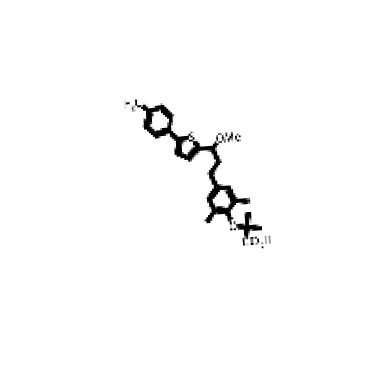 COC(CCc1cc(C)c(OC(C)(C)C(=O)O)c(C)c1)c1ccc(-c2ccc(C(F)(F)F)cc2)s1